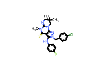 CN1C(=S)c2c(nn(Cc3ccc(Cl)cc3)c2Nc2ccc(F)cc2)N2CC(C)(C)CN=C12